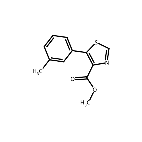 COC(=O)c1ncsc1-c1cccc(C)c1